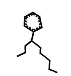 CCCCCC(CCC)c1[c]cccc1